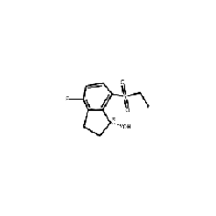 O=S(=O)(CF)c1ccc(F)c2c1[C@H](O)CC2